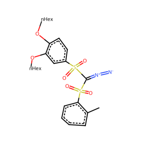 CCCCCCOc1ccc(S(=O)(=O)C(=[N+]=[N-])S(=O)(=O)c2ccccc2C)cc1OCCCCCC